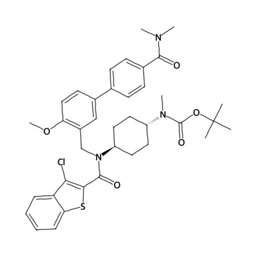 COc1ccc(-c2ccc(C(=O)N(C)C)cc2)cc1CN(C(=O)c1sc2ccccc2c1Cl)[C@H]1CC[C@H](N(C)C(=O)OC(C)(C)C)CC1